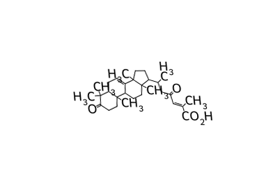 C/C(=C\C(=O)CC(C)C1CCC2(C)C3=CCC4C(C)(C)C(=O)CCC4(C)C3CCC12C)C(=O)O